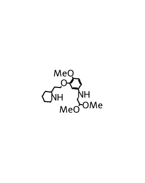 COc1ccc(NCC(OC)OC)cc1OCCC1CCCCN1